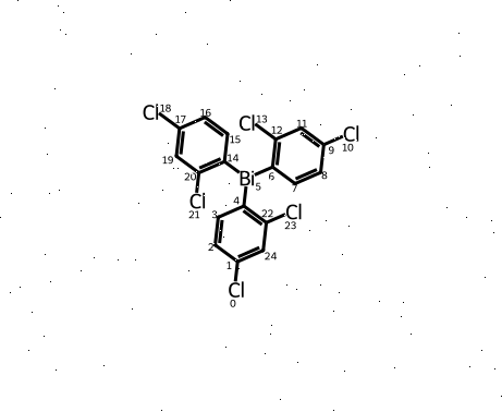 Clc1cc[c]([Bi]([c]2ccc(Cl)cc2Cl)[c]2ccc(Cl)cc2Cl)c(Cl)c1